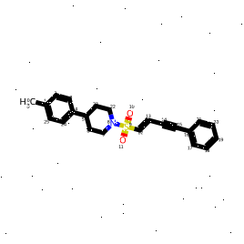 Cc1ccc(C2CCN(S(=O)(=O)C=CC#Cc3ccccc3)CC2)cc1